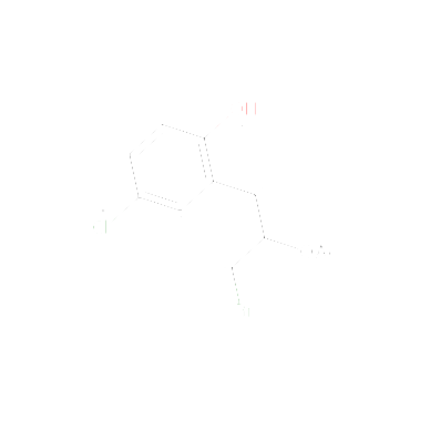 CC(=O)OC(CBr)Cc1cc(Cl)ccc1O